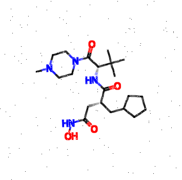 CN1CCN(C(=O)[C@@H](NC(=O)[C@@H](CC(=O)NO)CC2CCCC2)C(C)(C)C)CC1